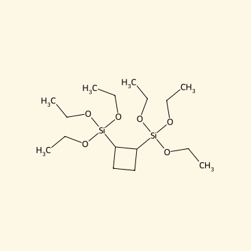 CCO[Si](OCC)(OCC)C1CCC1[Si](OCC)(OCC)OCC